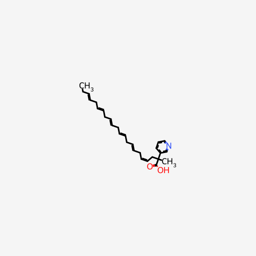 CCC=CCC=CCC=CCC=CCC=CC/C=C\CC(C)(C(=O)O)c1cccnc1